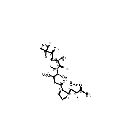 CC[C@H](C)[C@@H]([C@@H](CC(=O)N1CCC[C@H]1[C@H](OC)[C@@H](C)C(N)=O)OC)N(C)C(=O)[C@@H](NC(=O)C(C)(C)NC)C(C)C